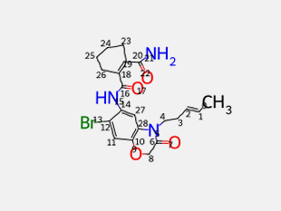 CC=CCCN1C(=O)COc2cc(Br)c(NC(=O)C3=C(C(N)=O)CCCC3)cc21